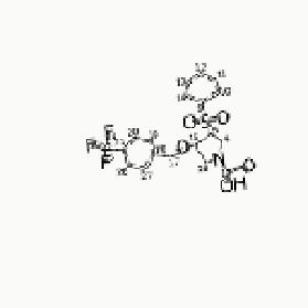 O=C(O)N1C[C@@H](S(=O)(=O)c2ccccc2)[C@H](OCc2ccc(C(F)(F)F)cc2)C1